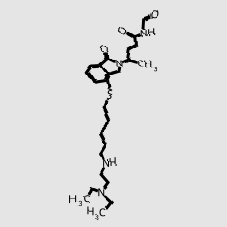 CCN(CC)CCNCCCCCSc1cccc2c1CN(C(C)CCC(=O)NC=O)C2=O